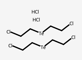 Cl.Cl.ClCC[Te]CCCl.ClCC[Te]CCCl